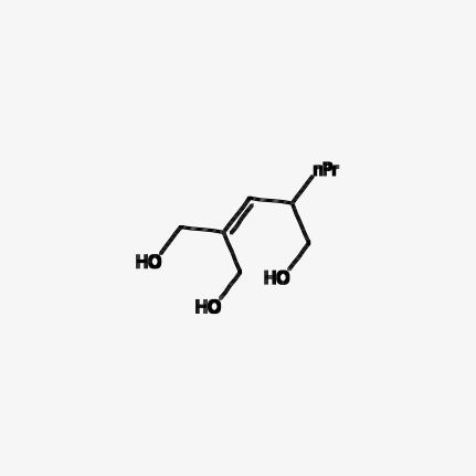 CCCC(C=C(CO)CO)CO